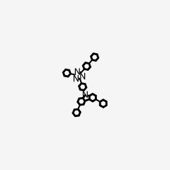 c1ccc(-c2ccc(-c3nc(-c4ccccc4)nc(-c4ccc(-n5c6ccc(-c7ccccc7)cc6c6cc(-c7ccccc7)ccc65)cc4)n3)cc2)cc1